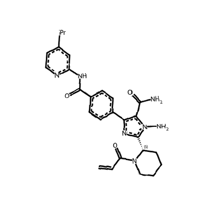 C=CC(=O)N1CCCC[C@H]1c1nc(-c2ccc(C(=O)Nc3cc(C(C)C)ccn3)cc2)c(C(N)=O)n1N